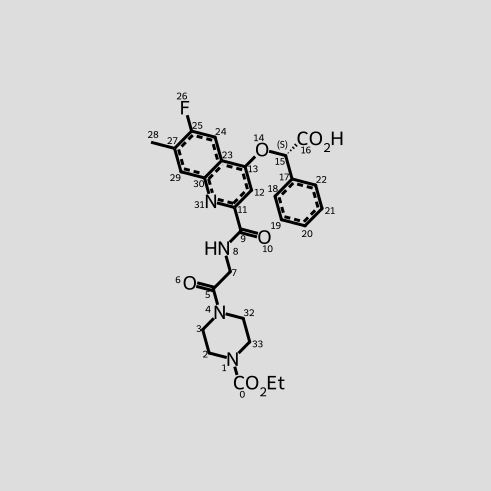 CCOC(=O)N1CCN(C(=O)CNC(=O)c2cc(O[C@H](C(=O)O)c3ccccc3)c3cc(F)c(C)cc3n2)CC1